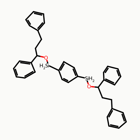 c1ccc(CCC(O[SiH2]c2ccc([SiH2]OC(CCc3ccccc3)c3ccccc3)cc2)c2ccccc2)cc1